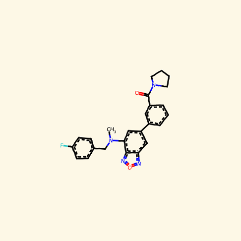 CN(Cc1ccc(F)cc1)c1cc(-c2cccc(C(=O)N3CCCC3)c2)cc2nonc12